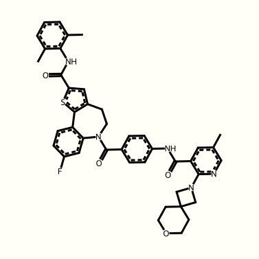 Cc1cnc(N2CC3(CCOCC3)C2)c(C(=O)Nc2ccc(C(=O)N3CCc4cc(C(=O)Nc5c(C)cccc5C)sc4-c4ccc(F)cc43)cc2)c1